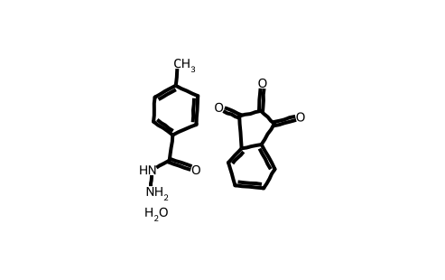 Cc1ccc(C(=O)NN)cc1.O.O=c1c(=O)c2ccccc2c1=O